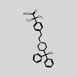 COC(=O)C(C)(C)c1ccc(CCN2CCC(C(O)(c3ccccc3)c3ccccc3)CC2)cc1